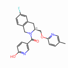 Cc1ccc(OC[C@@H]2Cc3cc(F)ccc3CN2C(=O)c2ccc(O)nc2)nc1